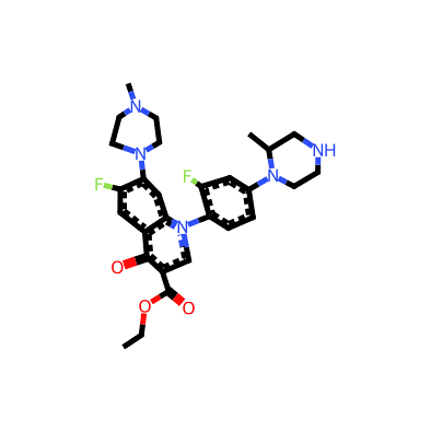 CCOC(=O)c1cn(-c2ccc(N3CCNCC3C)cc2F)c2cc(N3CCN(C)CC3)c(F)cc2c1=O